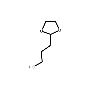 OCCCC1OCCO1